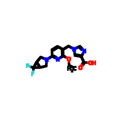 CCOc1nc(N2CC3C(C2)C3(F)F)ccc1Cn1cnc(C(=O)O)c1